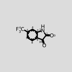 O=C1Nc2cc(C(F)(F)F)ccc2C1=O